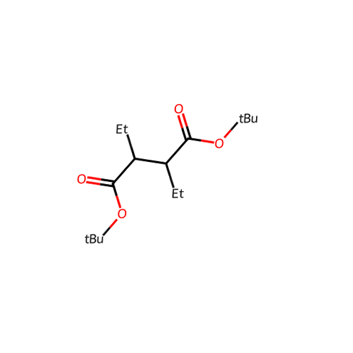 CCC(C(=O)OC(C)(C)C)C(CC)C(=O)OC(C)(C)C